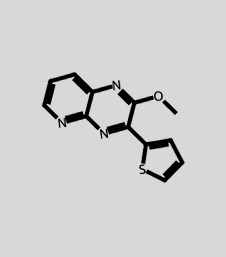 COc1nc2cccnc2nc1-c1cccs1